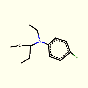 CCC(CC)N(CC)c1ccc(F)cc1